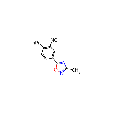 [C-]#[N+]c1cc(-c2nc(C)no2)ccc1CCC